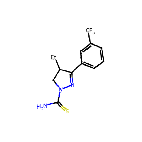 CCC1CN(C(N)=S)N=C1c1cccc(C(F)(F)F)c1